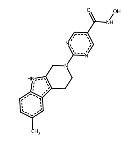 Cc1ccc2[nH]c3c(c2c1)CCN(c1ncc(C(=O)NO)cn1)C3